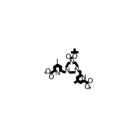 COC(=O)c1cc(C)cc(CN2CCN(Cc3cc(I)cc(C(=O)OC)n3)CCN(C(=O)OC(C)(C)C)CC2)n1